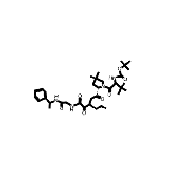 CCCC(CC(=O)[C@@H]1CC(C)(C)CN1C(=O)C(NC(=O)OC(C)(C)C)C(C)(C)C)C(=O)C(=O)NCC(=O)NC(C)c1ccccc1